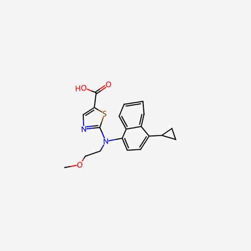 COCCN(c1ncc(C(=O)O)s1)c1ccc(C2CC2)c2ccccc12